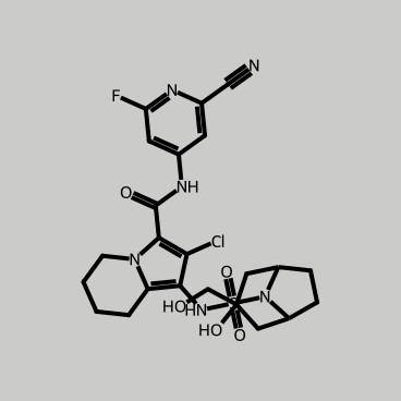 N#Cc1cc(NC(=O)c2c(Cl)c(NS(=O)(=O)N3C4CCC3CC(O)(CO)C4)c3n2CCCC3)cc(F)n1